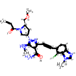 C=CC(=O)N1C[C@@H](n2nc(C#Cc3ccc4ncn(C)c4c3F)c(C(N)=O)c2NC)C[C@@H]1COC